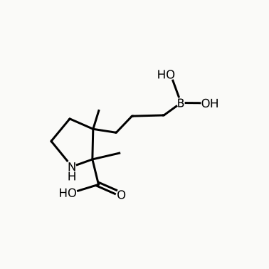 CC1(CCCB(O)O)CCNC1(C)C(=O)O